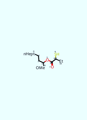 CCCCCCCCCC(OC)OC(=O)C(S)CC